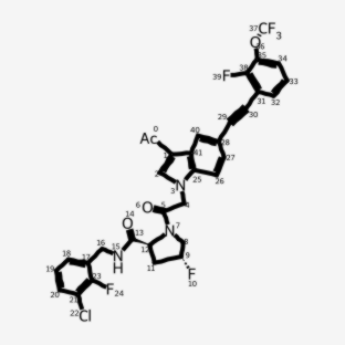 CC(=O)c1cn(CC(=O)N2C[C@H](F)C[C@H]2C(=O)NCc2cccc(Cl)c2F)c2ccc(C#Cc3cccc(OC(F)(F)F)c3F)cc12